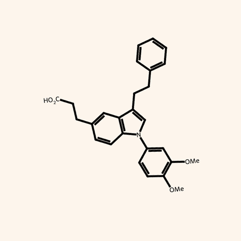 COc1ccc(-n2cc(CCc3ccccc3)c3cc(CCC(=O)O)ccc32)cc1OC